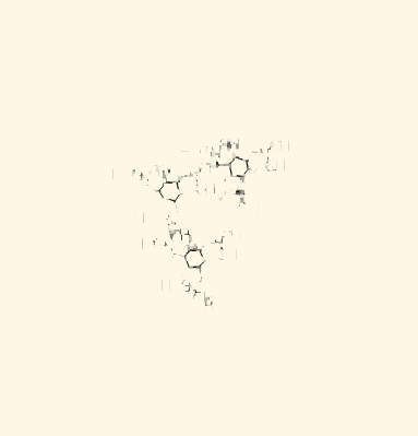 CN(C)Cc1cc(CN(C)C)c([O-])c(CN(C)C)c1.CN(C)Cc1cc(CN(C)C)c([O-])c(CN(C)C)c1.CN(C)Cc1cc(CN(C)C)c([O-])c(CN(C)C)c1.[Al+3]